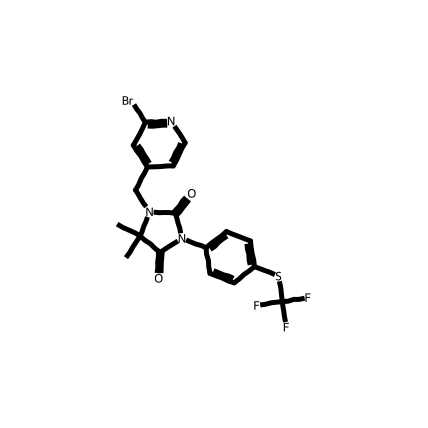 CC1(C)C(=O)N(c2ccc(SC(F)(F)F)cc2)C(=O)N1Cc1ccnc(Br)c1